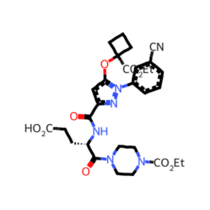 CCOC(=O)N1CCN(C(=O)[C@H](CCC(=O)O)NC(=O)c2cc(OC3(C(=O)OCC)CCC3)n(-c3cccc(C#N)c3)n2)CC1